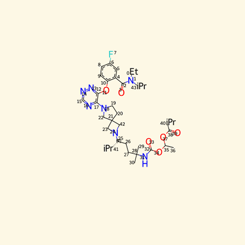 CCN(C(=O)c1cc(F)ccc1Oc1nncnc1N1CCC2(C1)CN([C@H](CCC(C)(C)NC(=O)OC(C)OC(=O)C(C)C)C(C)C)C2)C(C)C